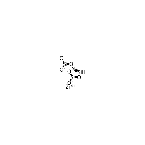 N#[SiH].O=[Si]([O-])[O-].O=[Si]([O-])[O-].[Zr+4]